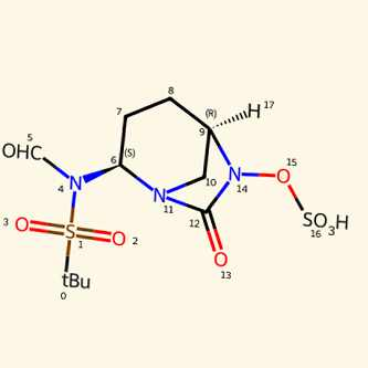 CC(C)(C)S(=O)(=O)N(C=O)[C@H]1CC[C@@H]2CN1C(=O)N2OS(=O)(=O)O